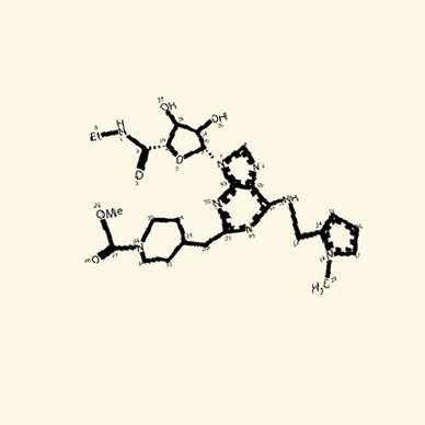 CCNC(=O)[C@H]1O[C@@H](n2cnc3c(NCc4cccn4C)nc(CC4CCN(C(=O)OC)CC4)nc32)C(O)C1O